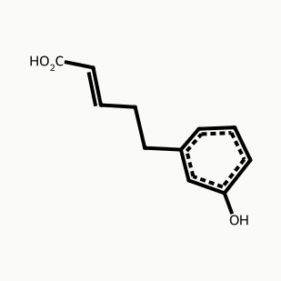 O=C(O)/C=C/CCc1cccc(O)c1